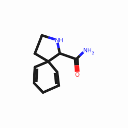 NC(=O)C1NCCC12C=CCC=C2